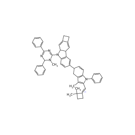 Cc1c2c(n(-c3ccccc3)c1/C=C1/CCC1(C)C)C=CC(c1ccc3c(c1)C1C=C4CCC4=CC1N3C1=NC(c3ccccc3)=NC(c3ccccc3)N1C)C2